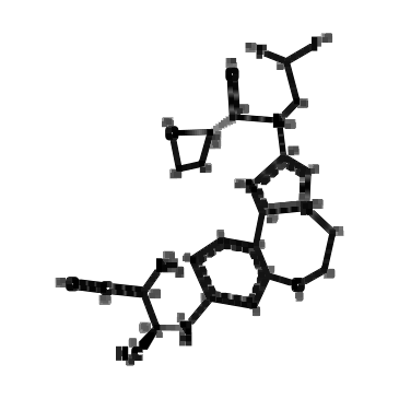 C[C@H](Nc1ccc2c(c1)OCCn1cc(N(CC(F)F)C(=O)[C@@H]3CCO3)nc1-2)C(N)=C=O